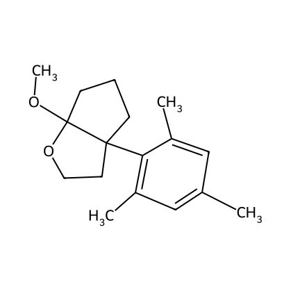 COC12CCCC1(c1c(C)cc(C)cc1C)CCO2